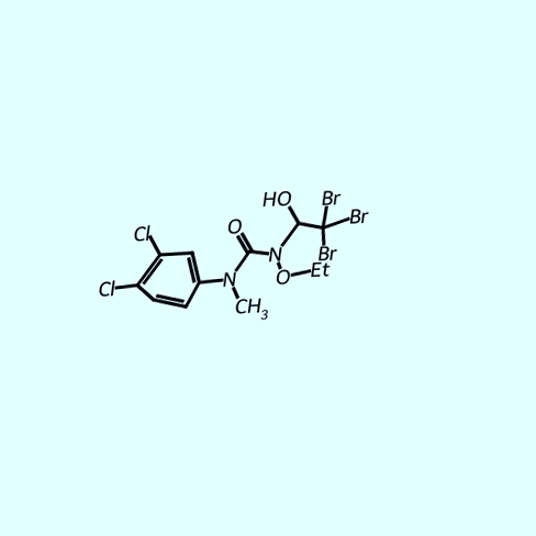 CCON(C(=O)N(C)c1ccc(Cl)c(Cl)c1)C(O)C(Br)(Br)Br